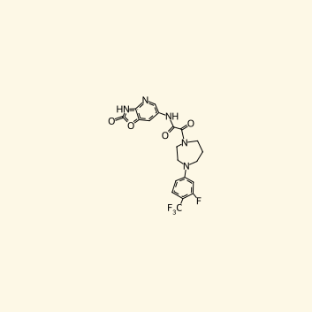 O=C(Nc1cnc2[nH]c(=O)oc2c1)C(=O)N1CCCN(c2ccc(C(F)(F)F)c(F)c2)CC1